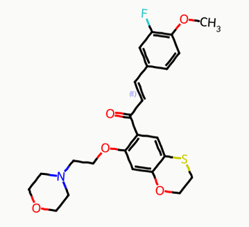 COc1ccc(/C=C/C(=O)c2cc3c(cc2OCCN2CCOCC2)OCCS3)cc1F